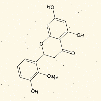 COc1c(O)cccc1C1CC(=O)c2c(O)cc(O)cc2O1